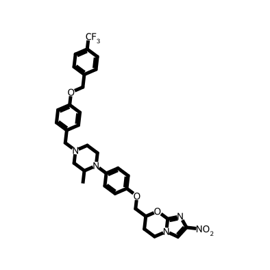 CC1CN(Cc2ccc(OCc3ccc(C(F)(F)F)cc3)cc2)CCN1c1ccc(OCC2CCn3cc([N+](=O)[O-])nc3O2)cc1